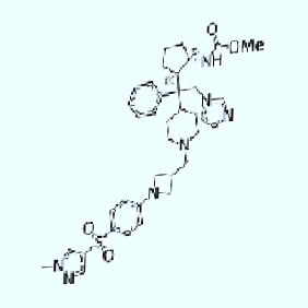 COC(=O)N[C@H]1CCC[C@@H]1C(Cn1ccnc1)(c1ccccc1)C1CCN(CC2CN(c3ccc(S(=O)(=O)c4cnn(C)c4)cc3)C2)CC1